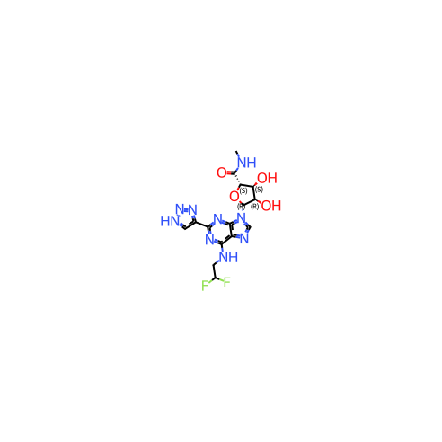 CNC(=O)[C@H]1O[C@@H](n2cnc3c(NCC(F)F)nc(-c4c[nH]nn4)nc32)[C@H](O)[C@@H]1O